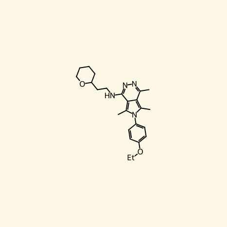 CCOc1ccc(-n2c(C)c3c(C)nnc(NCCC4CCCCO4)c3c2C)cc1